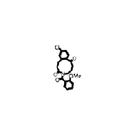 COc1ccccc1C(=O)N1CCCC(=O)c2ccc(Cl)cc2CCC1=O